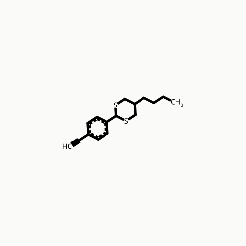 C#Cc1ccc(C2SCC(CCCC)CS2)cc1